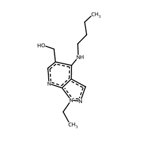 CCCCNc1c(CO)cnc2c1cnn2CC